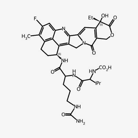 CC[C@@]1(O)C(=O)OCc2c1cc1n(c2=O)Cc2c-1nc1cc(F)c(C)c3c1c2[C@@H](NC(=O)C(CCCNC(N)=O)NC(=O)C(NC(=O)O)C(C)C)CC3